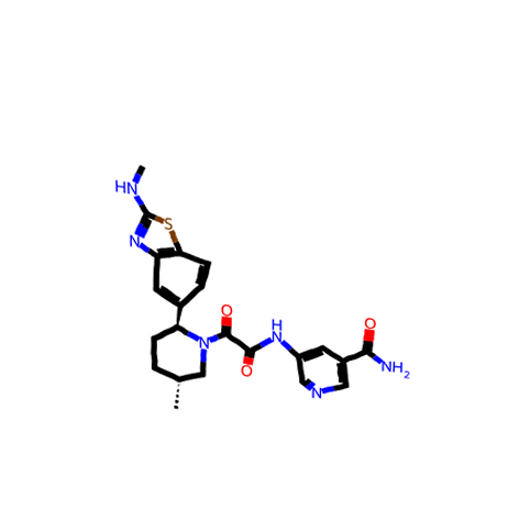 CNc1nc2cc([C@@H]3CC[C@@H](C)CN3C(=O)C(=O)Nc3cncc(C(N)=O)c3)ccc2s1